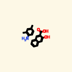 Cc1ccc(N)c(C)c1.O=C(O)c1cc2ccccc2cc1O